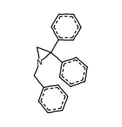 c1ccc(CN2CC2(c2ccccc2)c2ccccc2)cc1